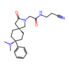 CN(C)[C@]1(c2ccccc2)CC[C@@]2(CC1)CC(=O)N(CC(=O)NCCC#N)C2